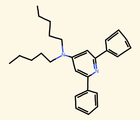 CCCCCN(CCCCC)c1cc(-c2ccccc2)nc(-c2ccccc2)c1